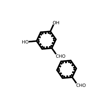 O=Cc1cc(O)cc(O)c1.O=Cc1ccccc1